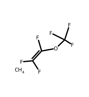 C.FC(F)=C(F)OC(F)(F)F